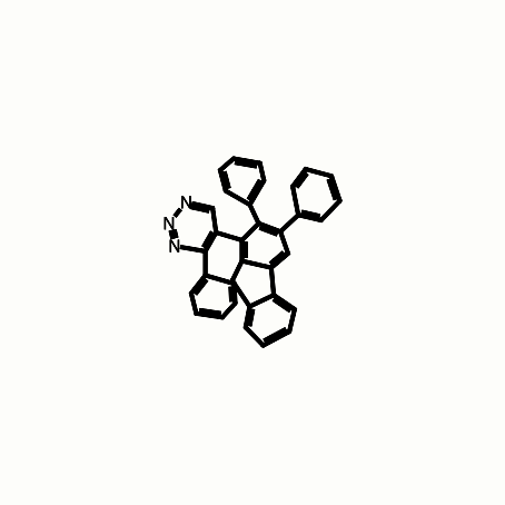 c1ccc(-c2cc3c(c(-c4cnnnc4-c4ccccc4)c2-c2ccccc2)Cc2ccccc2-3)cc1